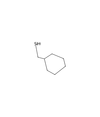 [SiH]CC1CCCCC1